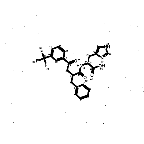 O=C(CC(Cc1ccccc1)C(=O)N[C@@H](Cc1c[nH]cn1)C(=O)O)c1cccc(C(F)(F)F)c1